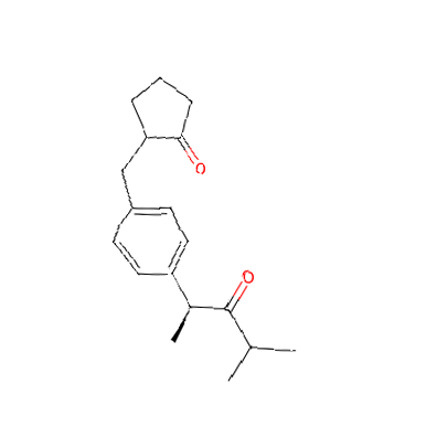 CC(C)C(=O)[C@@H](C)c1ccc(CC2CCCC2=O)cc1